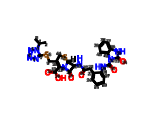 CC(C)n1nnnc1SCC1=C(C(=O)O)N2C(=O)C(NC(=O)Cc3ccccc3NC(=O)n3c(=O)[nH]c4ccccc43)[C@H]2SC1